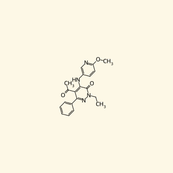 CCn1nc(-c2ccccc2)c(C(C)=O)c(Nc2ccc(OC)nc2)c1=O